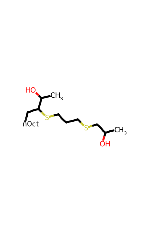 CCCCCCCCCC(SCCCSCC(C)O)C(C)O